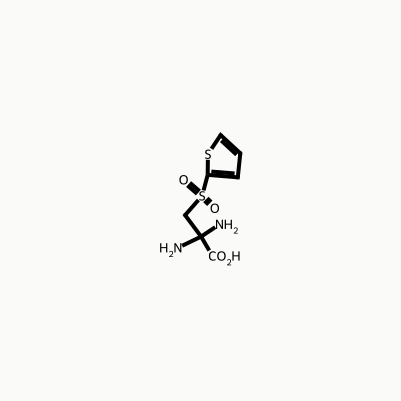 NC(N)(CS(=O)(=O)c1cccs1)C(=O)O